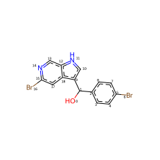 OC(c1ccc(Br)cc1)c1c[nH]c2cnc(Br)cc12